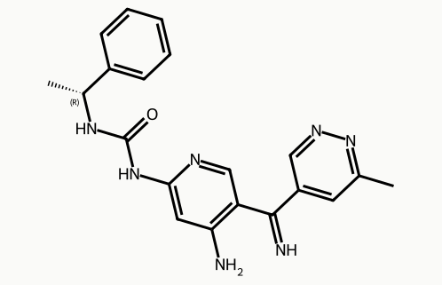 Cc1cc(C(=N)c2cnc(NC(=O)N[C@H](C)c3ccccc3)cc2N)cnn1